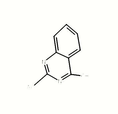 CC(=O)c1nc(C)c2ccccc2n1